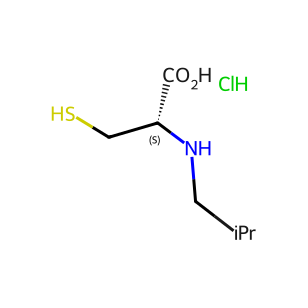 CC(C)CN[C@H](CS)C(=O)O.Cl